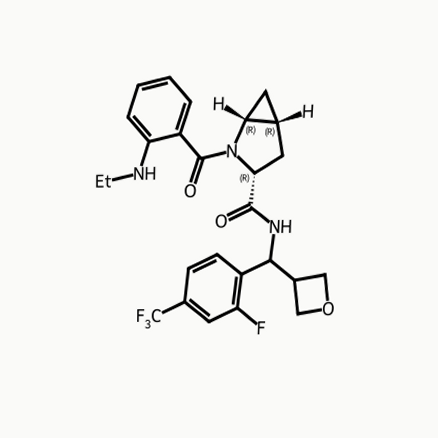 CCNc1ccccc1C(=O)N1[C@@H](C(=O)NC(c2ccc(C(F)(F)F)cc2F)C2COC2)C[C@H]2C[C@H]21